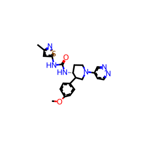 COc1ccc(C2CN(c3ccnnc3)CC[C@H]2NC(=O)Nc2cc(C)ns2)cc1